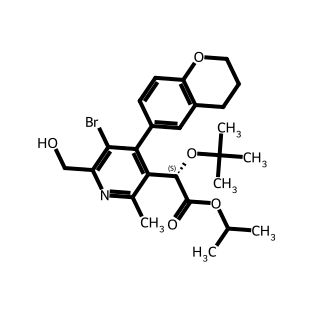 Cc1nc(CO)c(Br)c(-c2ccc3c(c2)CCCO3)c1[C@H](OC(C)(C)C)C(=O)OC(C)C